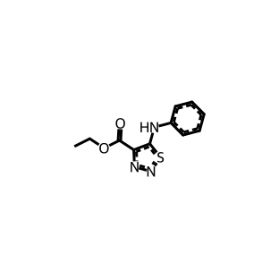 CCOC(=O)c1nnsc1Nc1ccccc1